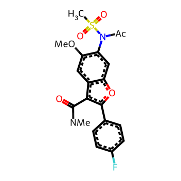 CNC(=O)c1c(-c2ccc(F)cc2)oc2cc(N(C(C)=O)S(C)(=O)=O)c(OC)cc12